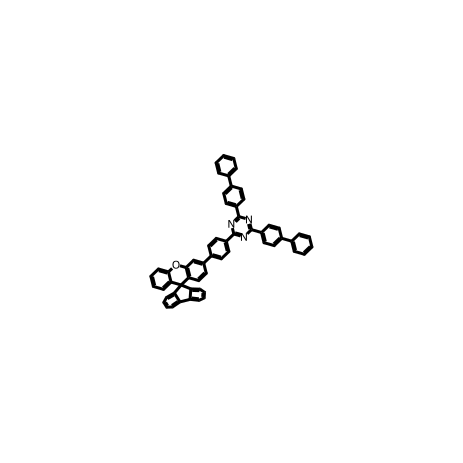 c1ccc(-c2ccc(-c3nc(-c4ccc(-c5ccccc5)cc4)nc(-c4ccc(-c5ccc6c(c5)Oc5ccccc5C65c6ccccc6-c6ccccc65)cc4)n3)cc2)cc1